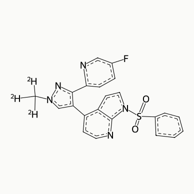 [2H]C([2H])([2H])n1cc(-c2ccnc3c2ccn3S(=O)(=O)c2ccccc2)c(-c2ccc(F)cn2)n1